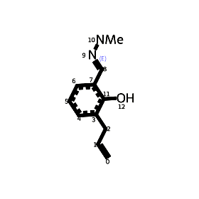 C=CCc1cccc(/C=N/NC)c1O